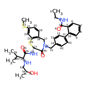 CCNC(=O)c1ccccc1-c1ccc(CN2Cc3ccc(SC)cc3S[C@@H](NC(=O)C(NC[C@@H](C)O)C(C)C)C2=O)cc1